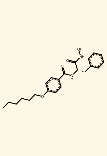 CCCCCCOc1ccc(C(=O)N[C@@H](Cc2ccccc2)C(=O)NO)cc1